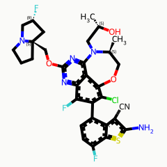 C[C@H](O)CN1c2nc(OC[C@@]34CCCN3C[C@H](F)C4)nc3c(F)c(-c4ccc(F)c5sc(N)c(C#N)c45)c(Cl)c(c23)OC[C@@H]1C